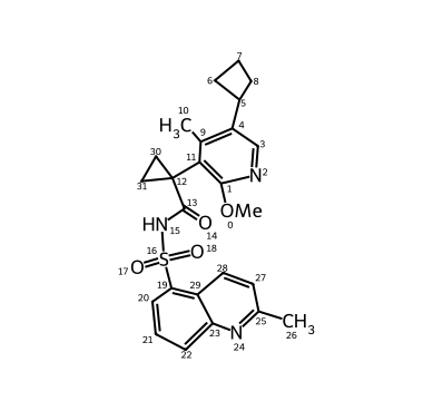 COc1ncc(C2CCC2)c(C)c1C1(C(=O)NS(=O)(=O)c2cccc3nc(C)ccc23)CC1